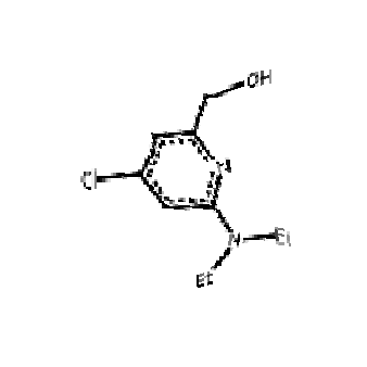 CCN(CC)c1cc(Cl)cc(CO)n1